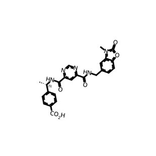 C[C@H](NC(=O)c1cc(C(=O)NCc2ccc3oc(=O)n(C)c3c2)ncn1)c1ccc(C(=O)O)cc1